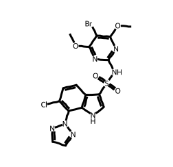 COc1nc(NS(=O)(=O)c2c[nH]c3c(-n4nccn4)c(Cl)ccc23)nc(OC)c1Br